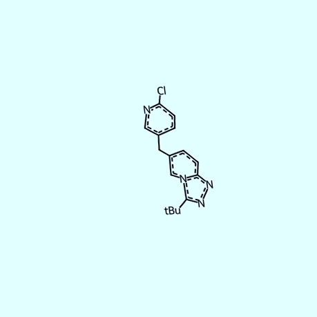 CC(C)(C)c1nnc2ccc(Cc3ccc(Cl)nc3)cn12